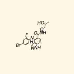 C[C@H](O)CONC(=O)c1ccc2[nH]ncc2c1Nc1ccc(Br)cc1F